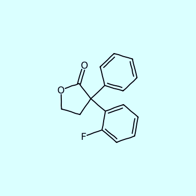 O=C1OCCC1(c1ccccc1)c1ccccc1F